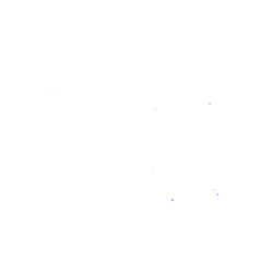 NC(=O)c1ncn(-c2ccc(Cl)c(Cl)c2)c1C(N)=O